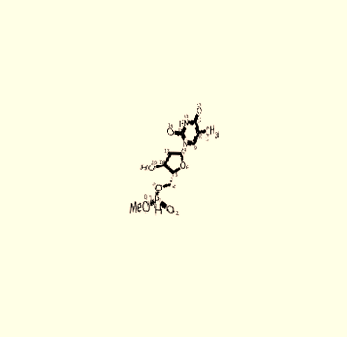 CO[PH](=O)OC[C@H]1O[C@@H](n2cc(C)c(=O)[nH]c2=O)CC1O